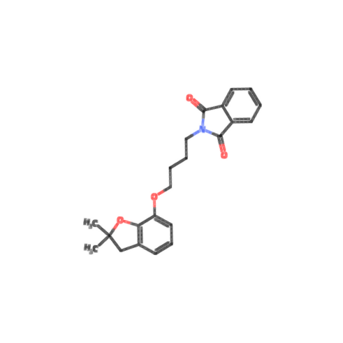 CC1(C)Cc2cccc(OCCCCN3C(=O)c4ccccc4C3=O)c2O1